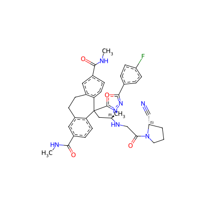 CNC(=O)c1ccc2c(c1)CCc1cc(C(=O)NC)ccc1C2(C[C@@H](C)NCC(=O)N1CCC[C@H]1C#N)c1nnc(-c2ccc(F)cc2)o1